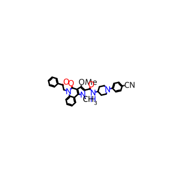 COc1c(C(=O)NC2CCN(c3ccc(C#N)cc3)CC2)n(C)c2c1c(=O)n(CC(=O)c1ccccc1)c1ccccc21